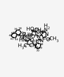 COc1nc(N)nc2c1nc(I)n2C1O[C@H](COP(=O)(N[C@H](C(=O)OCc2ccccc2)C(C)C)Oc2cccc3ccccc23)[C@@H](O)[C@@]1(C)O